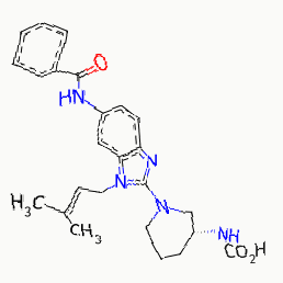 CC(C)=CCn1c(N2CCC[C@@H](NC(=O)O)C2)nc2ccc(NC(=O)c3ccccc3)cc21